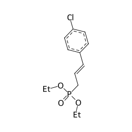 CCOP(=O)(CC=Cc1ccc(Cl)cc1)OCC